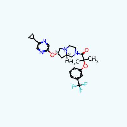 CC(C)(Oc1cccc(C(F)(F)F)c1)C(=O)N1CCN2C[C@H](Oc3cnc(C4CC4)cn3)C[C@H]2C1